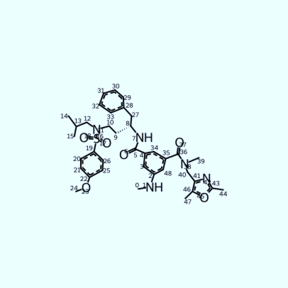 CNc1cc(C(=O)N[C@H](CCN(CC(C)C)S(=O)(=O)c2ccc(OC)cc2)Cc2ccccc2)cc(C(=O)N(C)Cc2nc(C)oc2C)c1